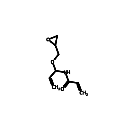 C=CC(=O)NC(C=C)OCC1CO1